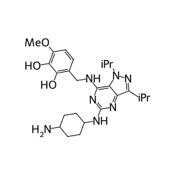 COc1ccc(CNc2nc(NC3CCC(N)CC3)nc3c(C(C)C)nn(C(C)C)c23)c(O)c1O